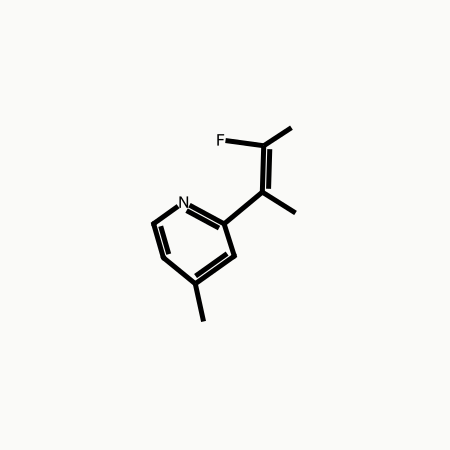 C/C(F)=C(\C)c1cc(C)ccn1